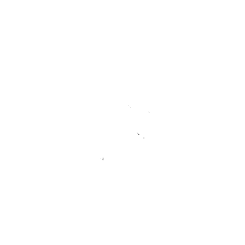 CCc1nc([C@@H](O)[CH]CC(N)=O)no1